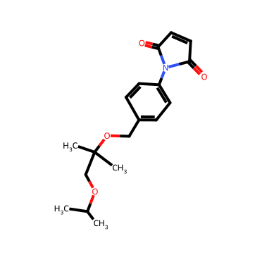 CC(C)OCC(C)(C)OCc1ccc(N2C(=O)C=CC2=O)cc1